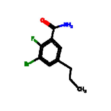 CCCc1cc(Br)c(F)c(C(N)=O)c1